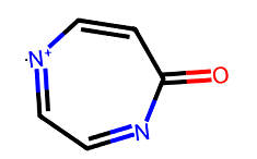 O=C1C=C[N+]=CC=N1